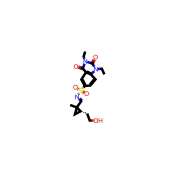 CCn1c(=O)c2cc(S(=O)(=O)N=CC3(C)C[C@H]3CCO)ccc2n(CC)c1=O